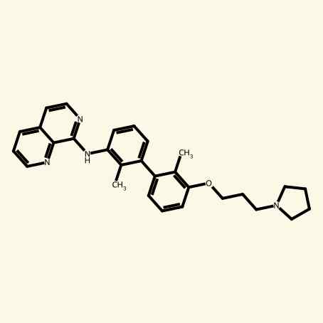 Cc1c(Nc2nccc3cccnc23)cccc1-c1cccc(OCCCN2CCCC2)c1C